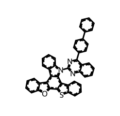 c1ccc(-c2ccc(-c3nc(-n4c5ccccc5c5c6c7ccccc7oc6c6sc7ccccc7c6c54)nc4ccccc34)cc2)cc1